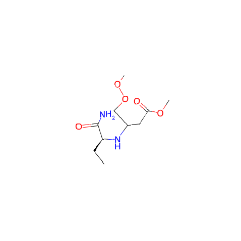 CC[C@H](NC(COOC)CC(=O)OC)C(N)=O